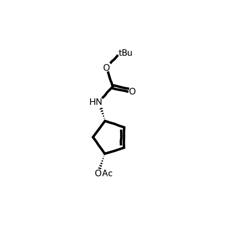 CC(=O)O[C@H]1C=C[C@@H](NC(=O)OC(C)(C)C)C1